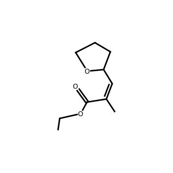 CCOC(=O)C(C)=CC1CCCO1